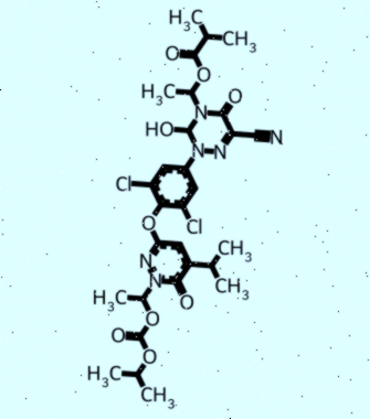 CC(C)OC(=O)OC(C)n1nc(Oc2c(Cl)cc(N3N=C(C#N)C(=O)N(C(C)OC(=O)C(C)C)C3O)cc2Cl)cc(C(C)C)c1=O